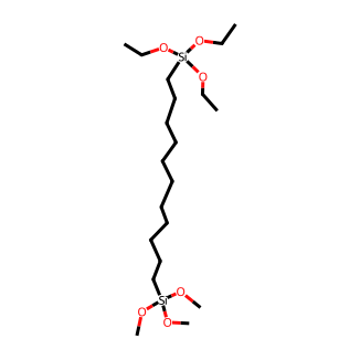 CCO[Si](CCCCCCCCCCC[Si](OC)(OC)OC)(OCC)OCC